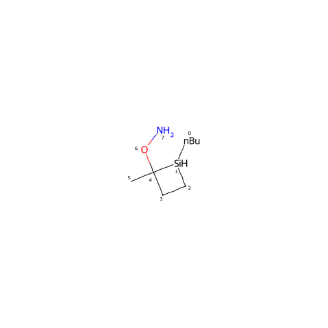 CCCC[SiH]1CCC1(C)ON